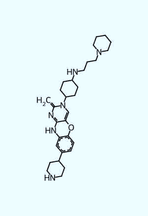 C=C1N=C2Nc3cc(C4CCNCC4)ccc3OC2=CN1C1CCC(NCCCN2CCCCC2)CC1